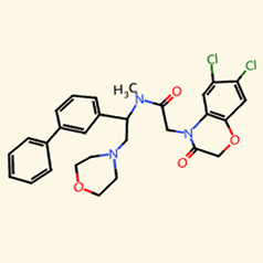 CN(C(=O)CN1C(=O)COc2cc(Cl)c(Cl)cc21)C(CN1CCOCC1)c1cccc(-c2ccccc2)c1